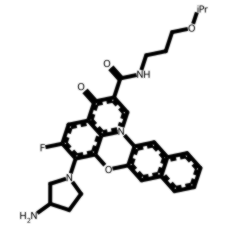 CC(C)OCCCNC(=O)c1cn2c3c(c(N4CCC(N)C4)c(F)cc3c1=O)Oc1cc3ccccc3cc1-2